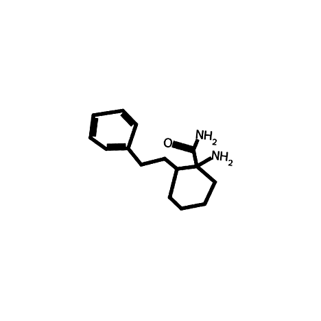 NC(=O)C1(N)CCCCC1CCc1ccccc1